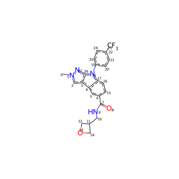 Cn1cc2c3cc(C(=O)NCC4COC4)ccc3n(-c3ccc(C(F)(F)F)cc3)c2n1